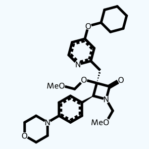 COCO[C@@]1(Cc2cc(OC3CCCCC3)ccn2)C(=O)N(COC)[C@H]1c1ccc(N2CCOCC2)cc1